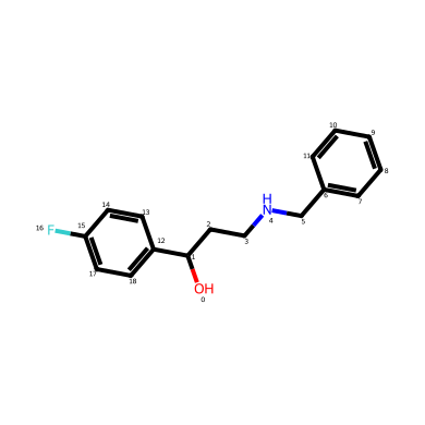 OC(CCNCc1ccccc1)c1ccc(F)cc1